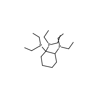 CCP(CC)C1CCCCC1(P(CC)CC)P(CC)CC